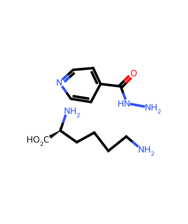 NCCCC[C@H](N)C(=O)O.NNC(=O)c1ccncc1